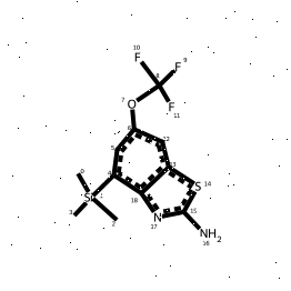 C[Si](C)(C)c1cc(OC(F)(F)F)cc2sc(N)nc12